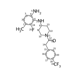 Cc1ccc(N)c(NC2CCN(C(=O)Cc3ccc(C(F)(F)F)cc3)CC2)c1F